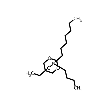 CCCCCCCC12OCC(CC)(CO1)CN2CCCC